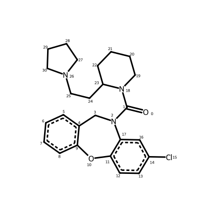 O=C(N1Cc2ccccc2Oc2ccc(Cl)cc21)N1CCCCC1CCN1CCCC1